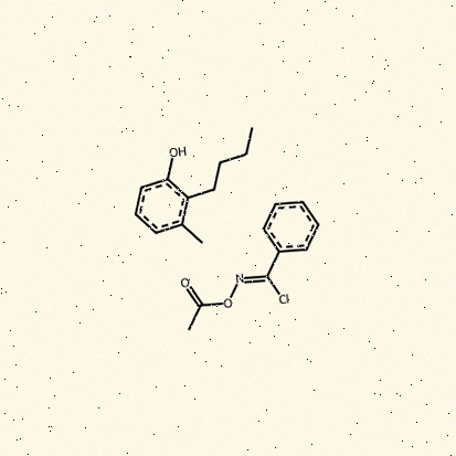 CC(=O)ON=C(Cl)c1ccccc1.CCCCc1c(C)cccc1O